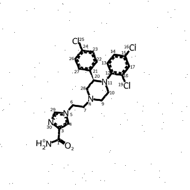 NC(=O)c1cn(CCN2CCN(c3ccc(Cl)cc3Cl)[C@H](c3ccc(Cl)cc3)C2)cn1